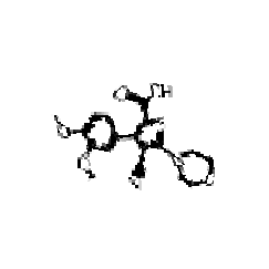 COc1ccc(-c2c(C(=O)O)sc(N3CCOCC3)c2C#N)cc1OC